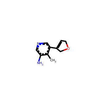 Cc1c(N)cncc1C1=CCOC1